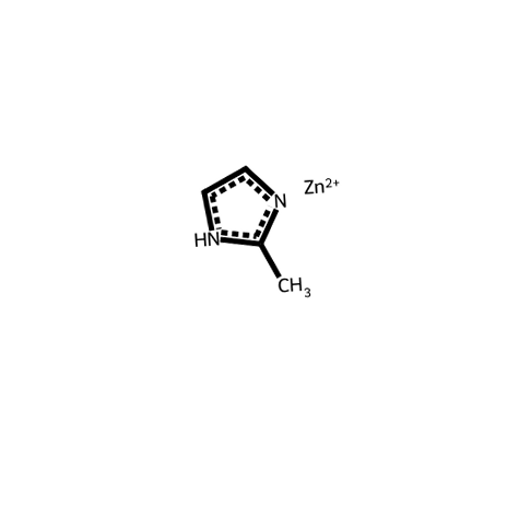 Cc1ncc[nH]1.[Zn+2]